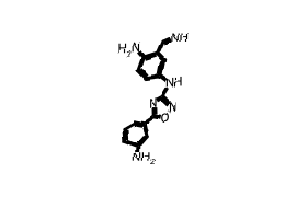 N=Cc1cc(Nc2noc(-c3cccc(N)c3)n2)ccc1N